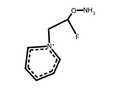 NOC(F)C[n+]1ccccc1